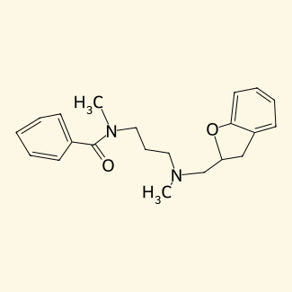 CN(CCCN(C)C(=O)c1ccccc1)CC1Cc2ccccc2O1